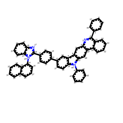 c1ccc(-c2nc3cc4c5cc(-c6ccc(-c7nc8ccccc8n7-c7cccc8ccccc78)cc6)ccc5n(-c5ccccc5)c4cc3c3ccccc23)cc1